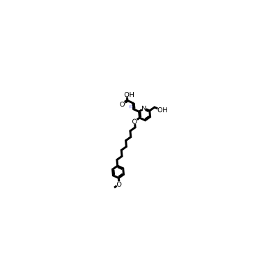 COc1ccc(CCCCCCCCOc2ccc(CO)nc2/C=C/C(=O)O)cc1